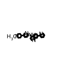 CN1CCC(c2ccc(Nc3ccnc4cc(-c5ccccn5)ccc34)nc2)CC1